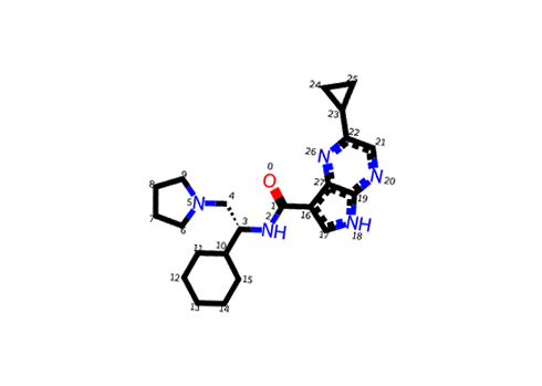 O=C(N[C@@H](CN1CCCC1)C1CCCCC1)c1c[nH]c2ncc(C3CC3)nc12